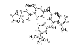 COc1cc(Nc2nc(Nc3cccc(C(C)(C)O)n3)c3c(C)csc3n2)ccc1N1CCC2(CC1)OCCO2